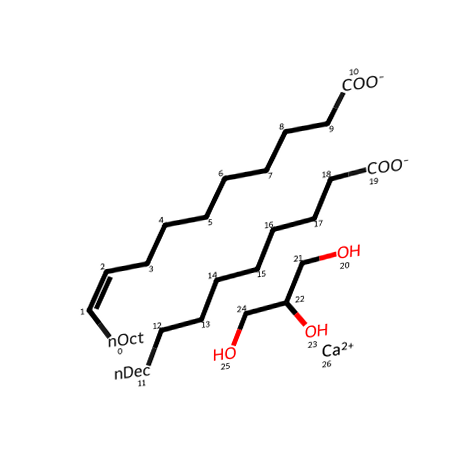 CCCCCCCC/C=C\CCCCCCCC(=O)[O-].CCCCCCCCCCCCCCCCCC(=O)[O-].OCC(O)CO.[Ca+2]